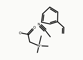 C=Cc1ccccc1.CC#N.C[N+](C)(C)CC(=O)[O-]